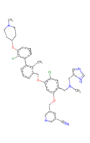 Cc1c(COc2cc(OCc3cncc(C#N)c3)c(CN(C)Cc3cnc[nH]3)cc2Cl)cccc1-c1cccc(OC2CCN(C)CC2)c1Cl